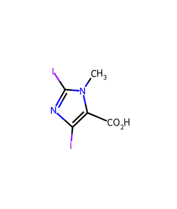 Cn1c(I)nc(I)c1C(=O)O